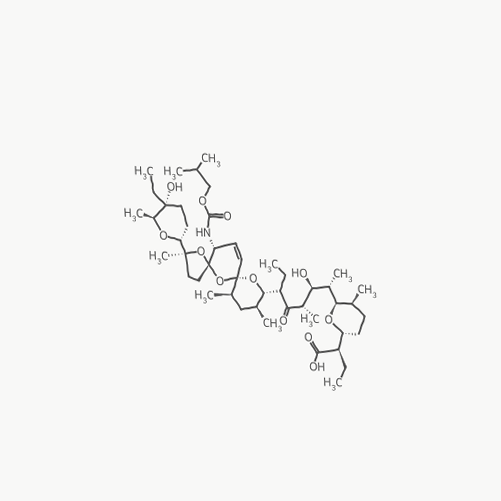 CCC(C(=O)[C@@H](C)[C@@H](O)[C@H](C)[C@@H]1O[C@@H]([C@@H](CC)C(=O)O)CC[C@@H]1C)[C@H]1O[C@]2(C=C[C@@H](NC(=O)OCC(C)C)[C@]3(CC[C@@](C)([C@H]4CC[C@](O)(CC)[C@H](C)O4)O3)O2)[C@H](C)C[C@@H]1C